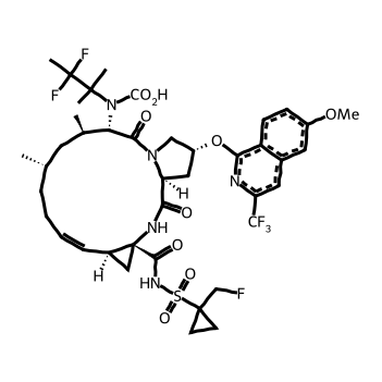 COc1ccc2c(O[C@@H]3C[C@H]4C(=O)N[C@]5(C(=O)NS(=O)(=O)C6(CF)CC6)C[C@H]5/C=C\CC[C@H](C)C[C@@H](C)[C@H](N(C(=O)O)C(C)(C)C(C)(F)F)C(=O)N4C3)nc(C(F)(F)F)cc2c1